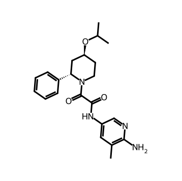 Cc1cc(NC(=O)C(=O)N2CC[C@H](OC(C)C)C[C@H]2c2ccccc2)cnc1N